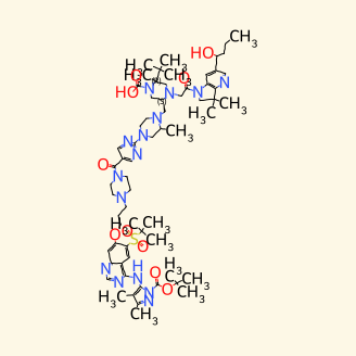 CCCC(O)c1cnc2c(c1)N(C(=O)CN1C[C@@](C)(C(C)(C)C)N(C(=O)O)C[C@@H]1CN1CCN(c3ncc(C(=O)N4CCN(CCCOc5cc6ncnc(Nc7c(C)c(C)nn7C(=O)OC(C)(C)C)c6cc5S(=O)(=O)C(C)(C)C)CC4)cn3)CC1C)CC2(C)C